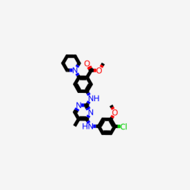 COC(=O)c1cc(Nc2ncc(C)c(Nc3ccc(Cl)c(OC)c3)n2)ccc1N1CCCCC1